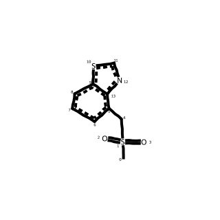 CS(=O)(=O)Cc1cccc2scnc12